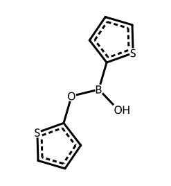 OB(Oc1cccs1)c1cccs1